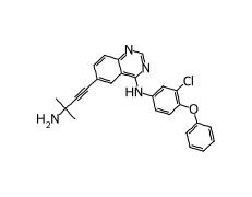 CC(C)(N)C#Cc1ccc2ncnc(Nc3ccc(Oc4ccccc4)c(Cl)c3)c2c1